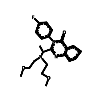 COCCN(CCOC)C(C)c1nc2ccccc2c(=O)n1-c1ccc(F)cc1